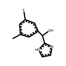 Cc1cc(F)cc(C(O)c2ncc[nH]2)c1